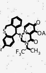 CC(=O)Oc1c2n(ccc1=O)N([C@@H]1c3ccccc3CSc3cc(Br)ccc31)CN([C@H](C)C(F)(F)F)C2=O